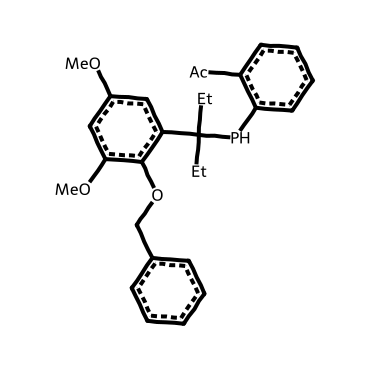 CCC(CC)(Pc1ccccc1C(C)=O)c1cc(OC)cc(OC)c1OCc1ccccc1